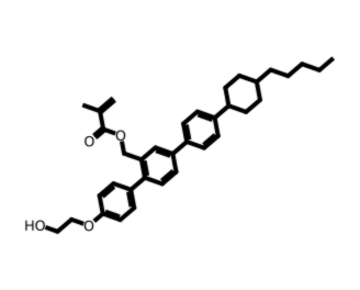 C=C(C)C(=O)OCc1cc(-c2ccc(C3CCC(CCCCC)CC3)cc2)ccc1-c1ccc(OCCO)cc1